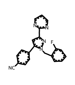 N#Cc1ccc(-c2cc(-c3ncccn3)nn2Cc2ccccc2F)cc1